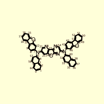 c1ccc2cc(N(c3ccc4c(c3)oc3ccccc34)c3cnc4c(c3)oc3nc(N(c5ccc6ccccc6c5)c5ccc6c(c5)oc5ccccc56)cnc34)ccc2c1